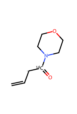 C=C[CH][14C](=O)N1CCOCC1